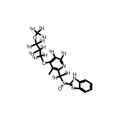 [2H]c1nc(C([2H])([2H])[S+]([O-])c2nc3ccccc3[nH]2)c(C)c(OC([2H])([2H])C([2H])([2H])C([2H])([2H])OC([2H])([2H])[2H])c1[2H]